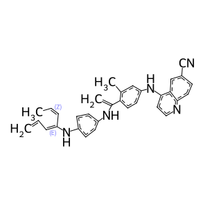 C=C/C=C(\C=C/C)Nc1ccc(NC(=C)c2ccc(Nc3ccnc4ccc(C#N)cc34)cc2C)cc1